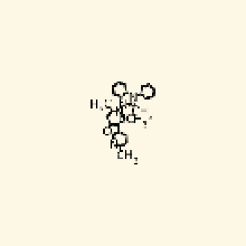 CB1c2c(oc3nc(C)ccc23)C=C(C)N1N1c2ccccc2N(c2ccccc2)[C@@H]1C